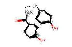 CCOC(=O)c1ccc(O)cc1.COC(=O)c1ccc(O)cc1